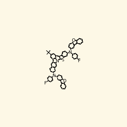 CC(C)(C)c1cc2c3cc4ccc(N(c5ccc(F)cc5)c5ccc6oc7ccccc7c6c5)cc4cc3n3c4sc5cc(N(c6ccc(F)cc6)c6ccc7oc8ccccc8c7c6)ccc5c4c(c1)c23